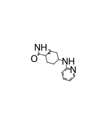 NC(=O)C1CCC(Nc2ccccn2)CC1